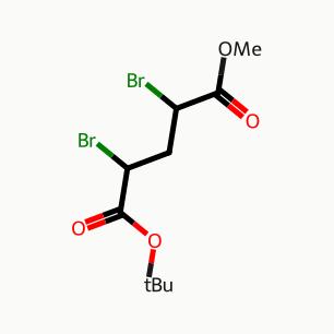 COC(=O)C(Br)CC(Br)C(=O)OC(C)(C)C